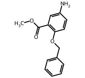 COC(=O)c1cc(N)ccc1OCc1ccccc1